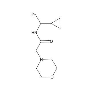 CC(C)C(NC(=O)CN1CCOCC1)C1CC1